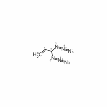 C=CC(N=[N+]=[N-])N=[N+]=[N-]